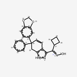 O/N=C(/c1n[nH]c2c1C=CC(c1ccccc1)(c1ccc3c(c1)OCO3)C2)C1CCC1